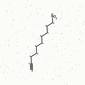 [C]#CCCCCCCCC[N+](=O)[O-]